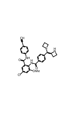 C#Cc1ccc(NC(=O)c2cc(Cl)cc(OC)c2NC(=O)c2ccc(C(=C3CCN3)N3CCC3)cc2)cc1